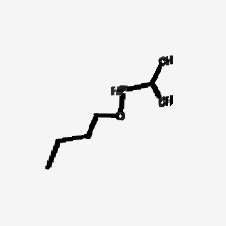 CCCCOPC(O)O